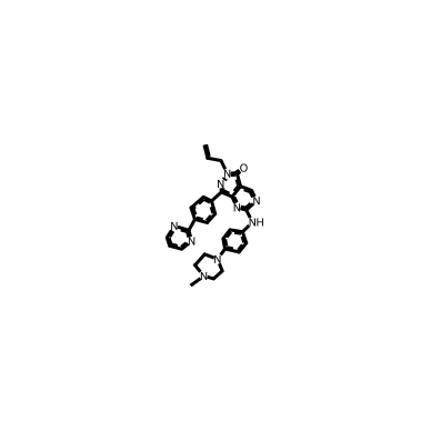 C=CCn1nc(-c2ccc(-c3ncccn3)cc2)c2nc(Nc3ccc(N4CCN(C)CC4)cc3)ncc2c1=O